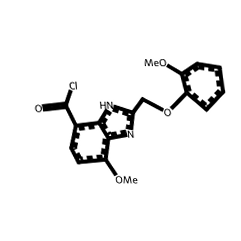 COc1ccccc1OCc1nc2c(OC)ccc(C(=O)Cl)c2[nH]1